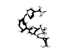 CNC(=O)C1CCN(Cc2ccc(C)c(-c3ccc4c(n3)N(C)S(=O)(=O)N4CC3CC3(F)F)c2)CC1